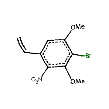 C=Cc1cc(OC)c(Br)c(OC)c1[N+](=O)[O-]